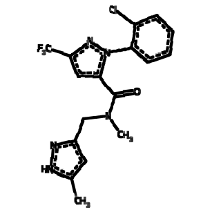 Cc1cc(CN(C)C(=O)c2cc(C(F)(F)F)nn2-c2ccccc2Cl)n[nH]1